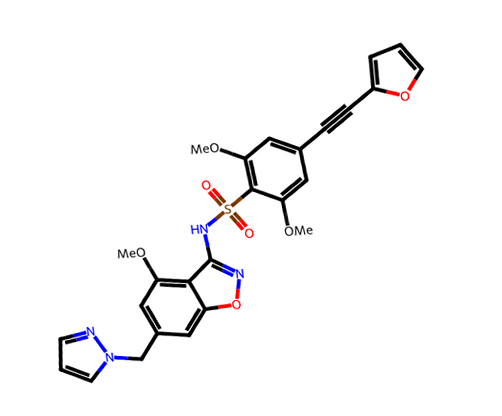 COc1cc(C#Cc2ccco2)cc(OC)c1S(=O)(=O)Nc1noc2cc(Cn3cccn3)cc(OC)c12